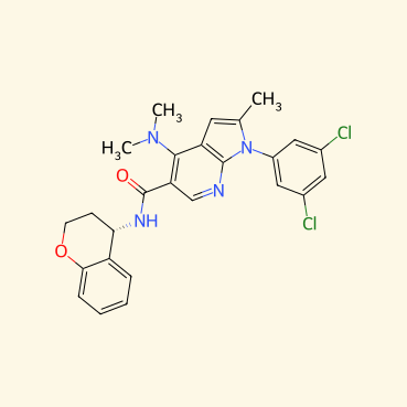 Cc1cc2c(N(C)C)c(C(=O)N[C@H]3CCOc4ccccc43)cnc2n1-c1cc(Cl)cc(Cl)c1